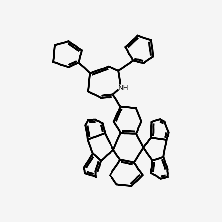 C1=CC(C2=CC(c3ccccc3)NC(C3=CC4=C(CC3)C3(C5=C(CCC=C5)C45c4ccccc4-c4ccccc45)c4ccccc4-c4ccccc43)=CC2)=CCC1